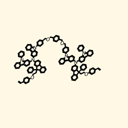 C=Cc1ccc(OCCC2(c3ccccc3)c3ccccc3-c3ccc(N(c4ccc5c(c4)c4ccccc4n5-c4ccc(COCc5ccc(COCc6ccc(-n7c8ccccc8c8cc(N(c9ccc%10c(c9)C(CCOc9ccc(C=C)cc9)(c9ccccc9)c9ccccc9-%10)c9ccc%10c%11ccccc%11n(-c%11ccccc%11)c%10c9)ccc87)cc6)cc5)cc4)c4ccc5c6ccccc6n(-c6ccccc6)c5c4)cc32)cc1